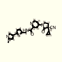 Cn1cc(-c2ccc(CNC(=O)c3cc(N4CC[C@@](C#N)(C5CC5)C4=O)ccn3)s2)cn1